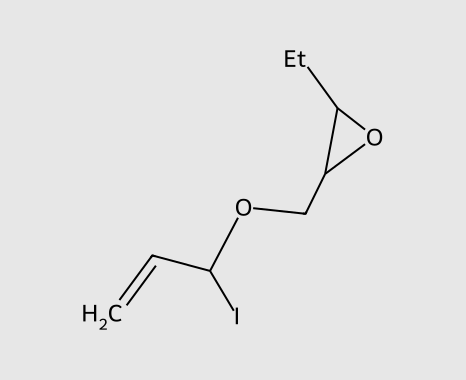 C=CC(I)OCC1OC1CC